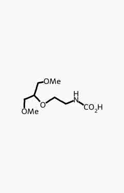 COCC(COC)OCCNC(=O)O